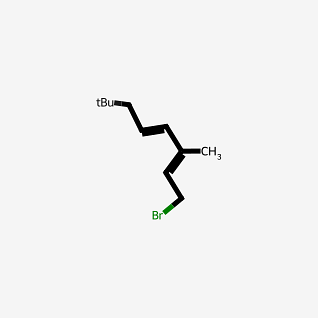 CC(C=CCC(C)(C)C)=CCBr